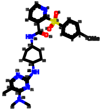 COc1ccc(S(=O)(=O)c2ncccc2C(=O)N[C@H]2CC[C@@H](Nc3ncc(C)c(N(C)C)n3)CC2)cc1